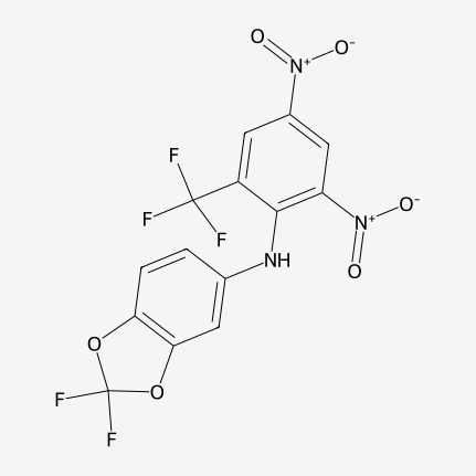 O=[N+]([O-])c1cc([N+](=O)[O-])c(Nc2ccc3c(c2)OC(F)(F)O3)c(C(F)(F)F)c1